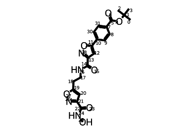 CC(C)(C)OC(=O)c1ccc(-c2cc(C(=O)NCCc3cc(C(=O)NO)no3)no2)cc1